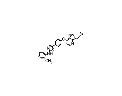 Cc1ccccc1Nc1ncc(-c2ccc(Oc3ncnc4c3ncn4CC3CC3)cc2)s1